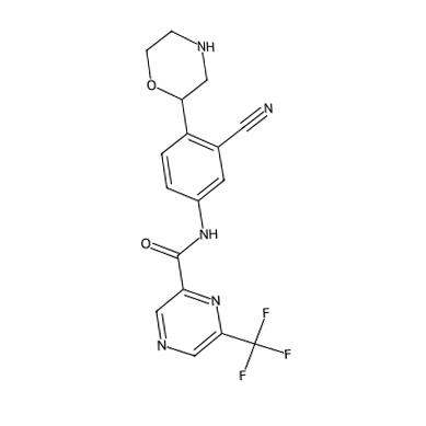 N#Cc1cc(NC(=O)c2cncc(C(F)(F)F)n2)ccc1C1CNCCO1